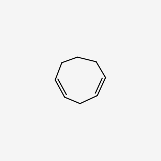 C1=CCCCC=CC1